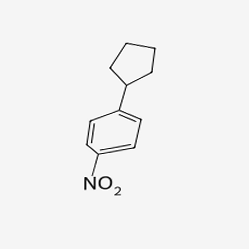 O=[N+]([O-])c1ccc(C2CCCC2)cc1